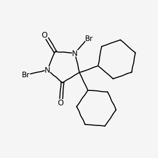 O=C1N(Br)C(=O)C(C2CCCCC2)(C2CCCCC2)N1Br